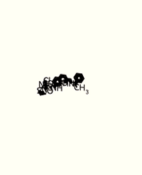 C[C@@H](NCC1CCc2ccc(NS(=O)(=O)c3c(Cl)nc4sccn34)cc2O1)c1ccccc1